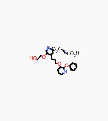 O=C(O)/C=C/C(=O)O.OCCOc1cnccc1CCCOc1cccnc1Oc1ccccc1